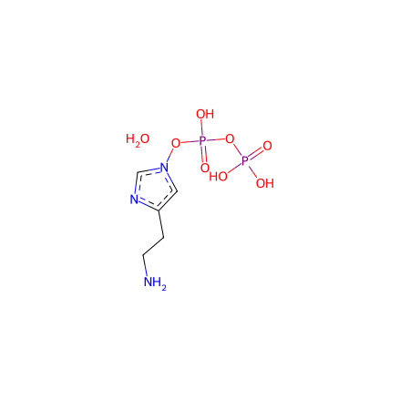 NCCc1cn(OP(=O)(O)OP(=O)(O)O)cn1.O